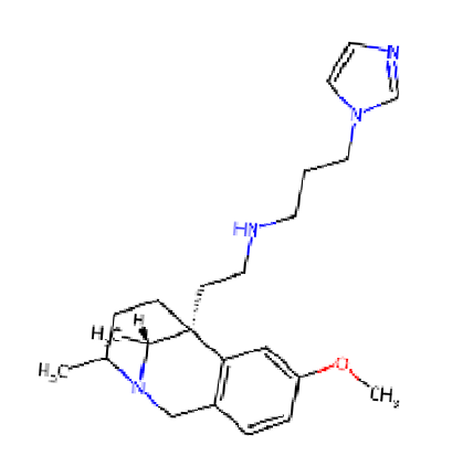 COc1ccc2c(c1)[C@]1(CCNCCCn3ccnc3)CCC(C)N(C2)[C@@H]1C